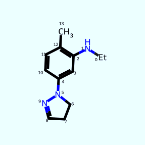 CCNc1cc(N2CCC=N2)ccc1C